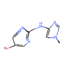 Cn1cnc(Nc2ncc(Br)cn2)c1